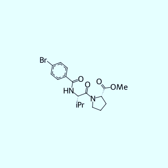 COC(=O)[C@@H]1CCCN1C(=O)[C@@H](NC(=O)c1ccc(Br)cc1)C(C)C